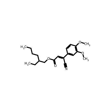 CCCCC(CC)COC(=O)C=C(C#N)c1ccc(OC)c(OC)c1